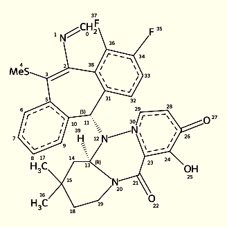 C=NC1=C(SC)c2ccccc2[C@@H](N2[C@@H]3CC(C)(C)CCN3C(=O)c3c(O)c(=O)ccn32)c2ccc(F)c(F)c21